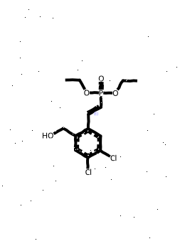 CCOP(=O)(/C=C/c1cc(Cl)c(Cl)cc1CO)OCC